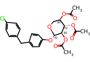 CC(=O)O[C@@H]1[C@@H](OC(C)=O)[C@H](Oc2ccc(Cc3ccc(Cl)cc3)cc2)OC[C@H]1OC(C)=O